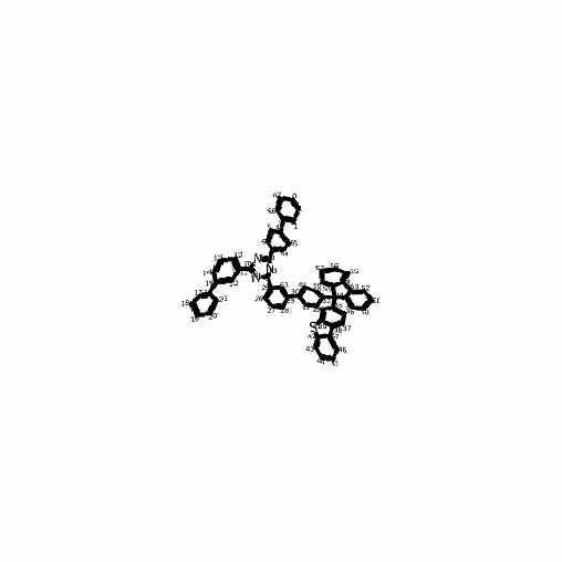 c1ccc(-c2ccc(-c3nc(-c4cccc(-c5ccccc5)c4)nc(-c4cccc(-c5ccc(C6(c7ccc8c(c7)sc7ccccc78)c7ccccc7-c7ccccc76)cc5)c4)n3)cc2)cc1